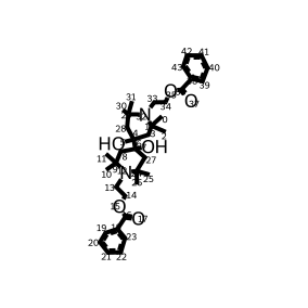 CC1(C)CC(O)(C2(O)CC(C)(C)N(CCOC(=O)c3ccccc3)C(C)(C)C2)CC(C)(C)N1CCOC(=O)c1ccccc1